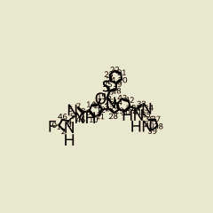 F[C@H]1CN[C@H](c2ncc(-c3ccc4c(c3)OC(c3cc5ccccc5s3)n3c-4cc4cc(-c5cnc([C@@H]6CCCN6)[nH]5)ccc43)[nH]2)C1